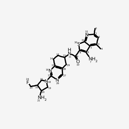 Cc1cc(C)c2c(N)c(C(=O)NC3CCc4nc(N5CC(N)C(CF)C5)ncc4C3)sc2n1